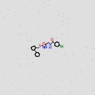 O=C(NCc1nnc(SCc2ccccc2-c2ccccc2)o1)c1ccc(Br)cc1